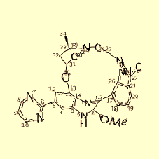 COC1Nc2cc(-c3ncccn3)cc3c2N=C1c1cccc2c(=O)n([nH]c12)CCN1CC(C[C@H]1C)O3